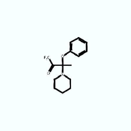 CC(Oc1ccccc1)(C(=O)C(F)(F)F)N1CCCCC1